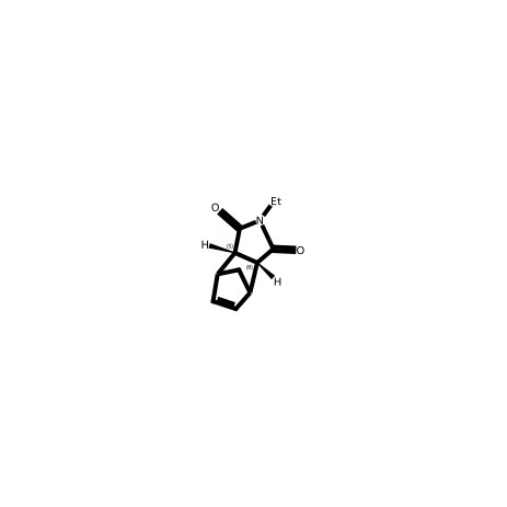 CCN1C(=O)[C@@H]2C3C=CC(C3)[C@@H]2C1=O